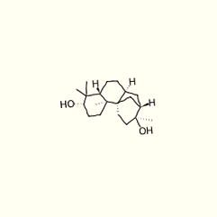 CC1(C)[C@@H](O)CC[C@@]2(C)[C@H]1CC[C@H]1C[C@H]3C[C@]12CC[C@]3(C)O